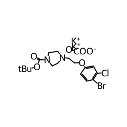 CC(C)(C)OC(=O)N1CCN(CCOc2ccc(Br)c(Cl)c2)CC1.O=C([O-])[O-].[K+].[K+]